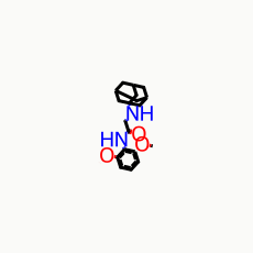 COc1cccc(OC)c1NC(=O)CNC12CC3CC(CC(C3)C1)C2